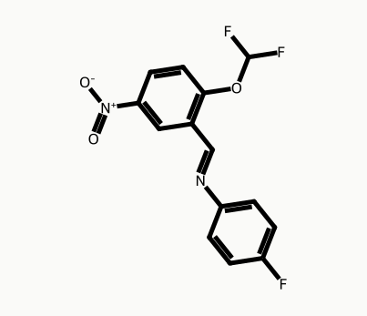 O=[N+]([O-])c1ccc(OC(F)F)c(/C=N/c2ccc(F)cc2)c1